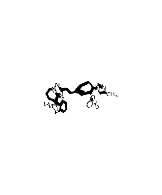 COc1cc(C=Cc2nc3n(n2)CCCC3(O)c2ccccc2F)ccc1-n1cnc(C)c1